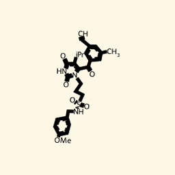 C#Cc1cc(C)cc(C(=O)c2c(C(C)C)c(=O)[nH]c(=O)n2CCCS(=O)(=O)NCc2ccc(OC)cc2)c1